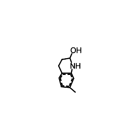 Cc1ccc2c(c1)NC(O)CC2